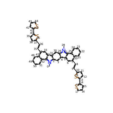 Cn1c2cc3c4cc(/C=C/c5ccc(-c6cccs6)s5)c5ccccc5c4n(C)c3cc2c2cc(/C=C/c3ccc(-c4cccs4)s3)c3ccccc3c21